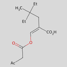 CCC(C)(CC)CC(=COC(=O)CC(C)=O)C(=O)O